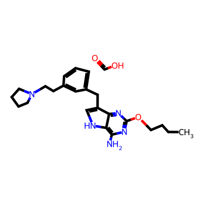 CCCCOc1nc(N)c2[nH]cc(Cc3cccc(CCN4CCCC4)c3)c2n1.O=CO